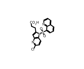 O=C(O)CCc1cc2nc(Cl)ccc2n1S(=O)(=O)c1cccc2cccnc12